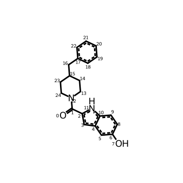 O=C(c1cc2cc(O)ccc2[nH]1)N1CCC(Cc2ccccc2)CC1